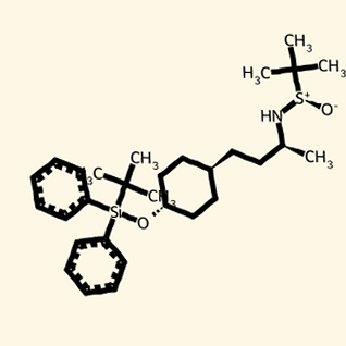 C[C@@H](CC[C@H]1CC[C@H](O[Si](c2ccccc2)(c2ccccc2)C(C)(C)C)CC1)N[S@+]([O-])C(C)(C)C